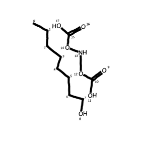 CCCCCCCCO.O=C(O)ONOC(=O)O